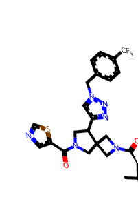 CC1(C)C[C@@H]1C(=O)N1CC2(CN(C(=O)c3cncs3)CC2c2cn(Cc3ccc(C(F)(F)F)cc3)nn2)C1